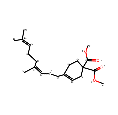 COC(=O)C1(C(=O)OC)CC=C(CCC=C(C)CCC=C(C)C)CC1